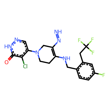 N=NC1=C(NCc2ccc(F)cc2CC(F)(F)F)CCN(c2cn[nH]c(=O)c2Cl)C1